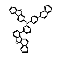 c1cc(-c2cccc3oc4c5ccccc5ccc4c23)cc(N(c2ccc(-c3ccc4ccccc4c3)cc2)c2ccc3c(c2)sc2ccccc23)c1